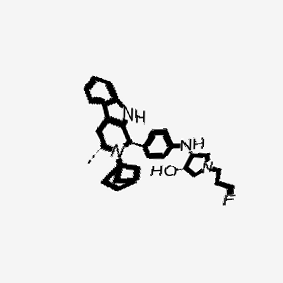 C[C@@H]1Cc2c([nH]c3ccccc23)[C@@H](c2ccc(N[C@@H]3CN(CCCF)C[C@@H]3O)cc2)N1C12CCC(C1)C2